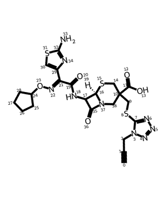 C#CCn1nnnc1SCC1(C(=O)O)CS[C@@H]2C(NC(=O)C(=NOC3CCCC3)c3csc(N)n3)C(=O)N2C1